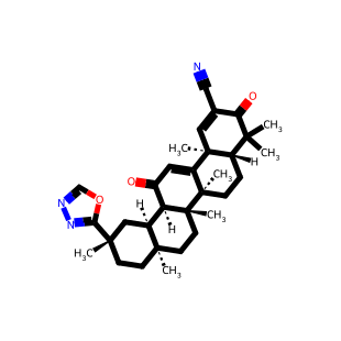 CC1(C)C(=O)C(C#N)=C[C@]2(C)C3=CC(=O)[C@@H]4[C@@H]5C[C@@](C)(c6nnco6)CC[C@]5(C)CC[C@@]4(C)[C@]3(C)CC[C@@H]12